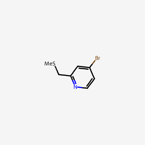 CSCc1cc(Br)ccn1